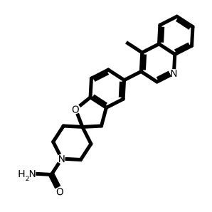 Cc1c(-c2ccc3c(c2)CC2(CCN(C(N)=O)CC2)O3)cnc2ccccc12